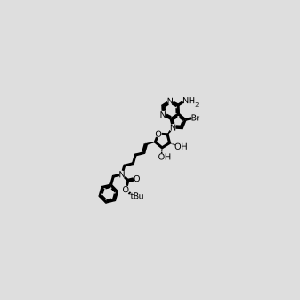 CC(C)(C)OC(=O)N(CCC/C=C/[C@H]1O[C@@H](n2cc(Br)c3c(N)ncnc32)[C@H](O)[C@@H]1O)Cc1ccccc1